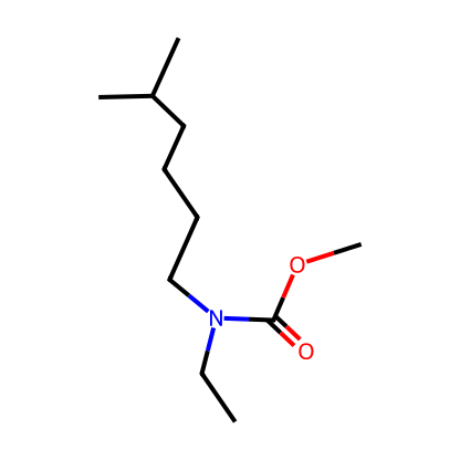 CCN(CCCCC(C)C)C(=O)OC